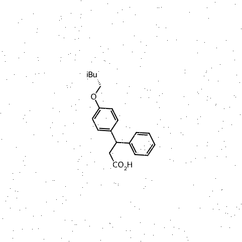 CC[C@@H](C)COc1ccc(C(CC(=O)O)c2ccccc2)cc1